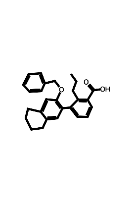 CCCc1c(C(=O)O)cccc1-c1cc2c(cc1OCc1ccccc1)CCCC2